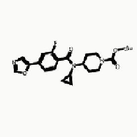 CC(C)(C)OC(=O)N1CCC(N(C(=O)c2ccc(-c3cnco3)cc2F)C2CC2)CC1